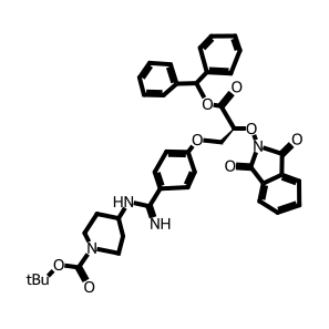 CC(C)(C)OC(=O)N1CCC(NC(=N)c2ccc(OC[C@H](ON3C(=O)c4ccccc4C3=O)C(=O)OC(c3ccccc3)c3ccccc3)cc2)CC1